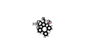 O=Cc1cccc2c1-c1c(C=O)c(C=O)c(C=O)c(C(=O)O)c1-c1ccccc1-c1ccccc1-2